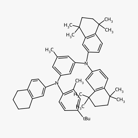 Cc1cc(N(c2ccc3c(c2)C(C)(C)CCC3(C)C)c2ccc3c(c2)C(C)(C)CCC3(C)C)cc(N(c2ccc3c(c2)CCCC3)c2ccc(C(C)(C)C)cc2C)c1